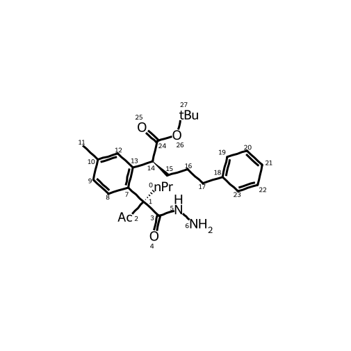 CCC[C@@](C(C)=O)(C(=O)NN)c1ccc(C)cc1[C@H](CCCc1ccccc1)C(=O)OC(C)(C)C